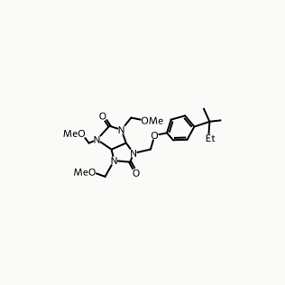 CCC(C)(C)c1ccc(OCN2C(=O)N(COC)C3C2N(COC)C(=O)N3COC)cc1